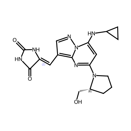 O=C1NC(=O)/C(=C/c2cnn3c(NC4CC4)cc(N4CCC[C@@H]4CO)nc23)N1